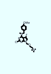 COc1ccc(CN(C)c2nc(Cl)nc3c2c(F)cn3COCC[Si](C)(C)C)cc1